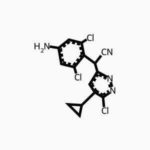 N#CC(c1cc(C2CC2)c(Cl)nn1)c1c(Cl)cc(N)cc1Cl